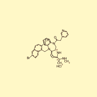 CN[C@@H](C)C(=O)N[C@H]1CN(C(=O)Cc2cccnc2)c2ccccc2N(Cc2c(OC)ccc3cc(Br)ccc23)C1=O.Cl